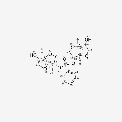 O=P(O[C@H]1CO[C@H]2[C@@H]1OC[C@H]2O)(O[C@@H]1CO[C@H]2[C@@H]1OC[C@@H]2O)c1ccccc1